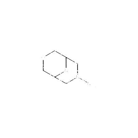 NN1CC2COCC(C1)N2